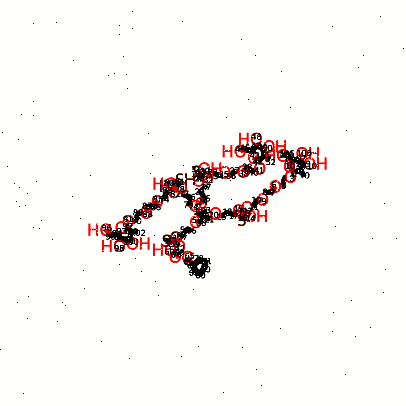 CC1[C@H](OCCOCCOCCOP(O)(=S)OCCCOCC(COCCCOP(O)(=S)OCCOCCOCCO[C@@H]2OC(CO)[C@@H](O)[C@H](O)C2C)(COCCCOP(O)(=S)OC(=O)OCc2ccccc2)COCCCO[PH](O)(S)OCCOCCOCCO[C@@H]2OC(CO)[C@@H](O)[C@H](O)C2C)OC(CO)[C@@H](O)[C@@H]1O